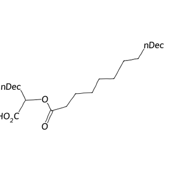 CCCCCCCCCCCCCCCCCC(=O)OC(CCCCCCCCCC)C(=O)O